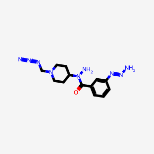 [N-]=[N+]=NCN1CCC(N(N)C(=O)c2cccc(N=NN)c2)CC1